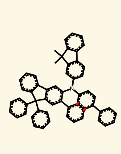 CC1(C)c2ccccc2-c2ccc(N(c3ccc(-c4ccccc4)cc3)c3cc4c(cc3-c3ccccc3)C(c3ccccc3)(c3ccccc3)c3ccccc3-4)cc21